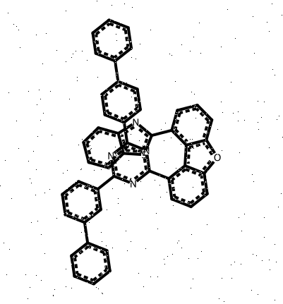 c1ccc(-c2ccc(-c3nc(-c4cccc(-c5ccccc5)c4)nc(-c4cccc5oc6cccc(-c7nc8ccccc8s7)c6c45)n3)cc2)cc1